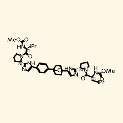 COC(=O)N[C@@H](CC(C)C)C(=O)N1CCC[C@H]1c1ncc(C23CCC(c4ccc(-c5cnc([C@@H]6CCCN6C(=O)[C@@H](NC(=O)OC)C(C)C)[nH]5)cc4)(CC2)CC3)[nH]1